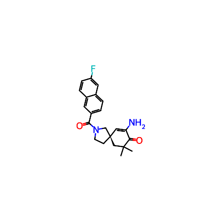 CC1(C)C[C@@]2(C=C(N)C1=O)CCN(C(=O)c1ccc3cc(F)ccc3c1)C2